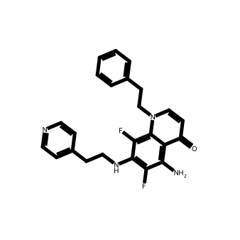 Nc1c(F)c(NCCc2ccncc2)c(F)c2c1c(=O)ccn2CCc1ccccc1